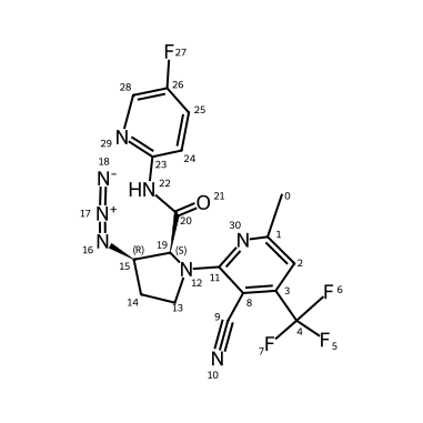 Cc1cc(C(F)(F)F)c(C#N)c(N2CC[C@@H](N=[N+]=[N-])[C@H]2C(=O)Nc2ccc(F)cn2)n1